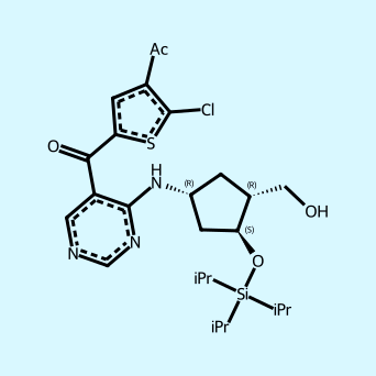 CC(=O)c1cc(C(=O)c2cncnc2N[C@@H]2C[C@H](CO)[C@@H](O[Si](C(C)C)(C(C)C)C(C)C)C2)sc1Cl